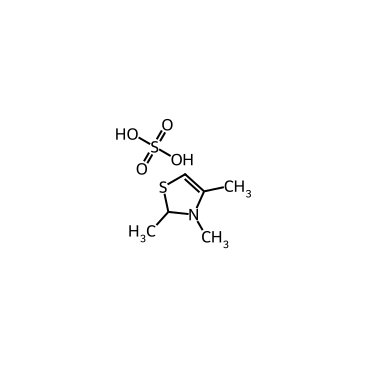 CC1=CSC(C)N1C.O=S(=O)(O)O